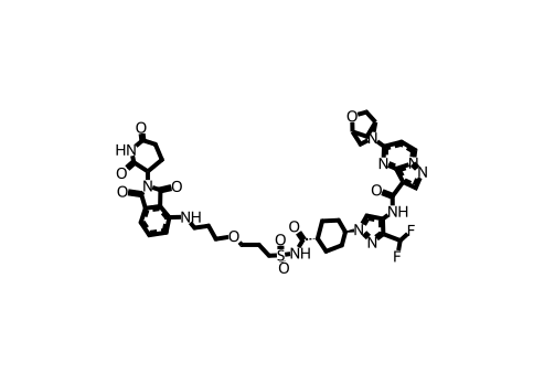 O=C1CCC(N2C(=O)c3cccc(NCCCOCCCS(=O)(=O)NC(=O)[C@H]4CC[C@H](n5cc(NC(=O)c6cnn7ccc(N8CC9CC8CO9)nc67)c(C(F)F)n5)CC4)c3C2=O)C(=O)N1